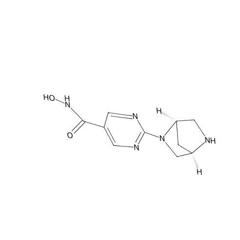 O=C(NO)c1cnc(N2C[C@H]3C[C@@H]2CN3)nc1